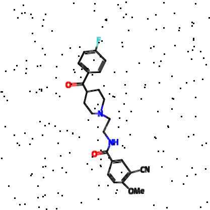 COc1ccc(C(=O)NCCN2CCC(C(=O)c3ccc(F)cc3)CC2)cc1C#N